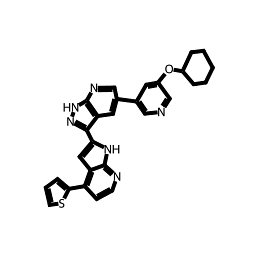 c1csc(-c2ccnc3[nH]c(-c4n[nH]c5ncc(-c6cncc(OC7CCCCC7)c6)cc45)cc23)c1